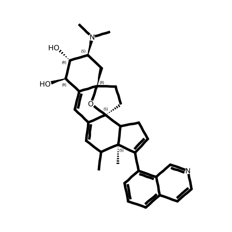 CC1C=C2C=C3[C@@H](O)[C@H](O)[C@@H](N(C)C)C[C@]34CC[C@]2(O4)C2CC=C(c3cccc4ccncc34)[C@@]12C